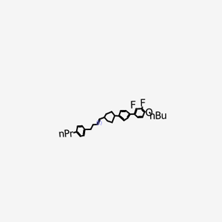 CCCCOc1ccc(-c2ccc(C3CCC(/C=C/CCc4ccc(CCC)cc4)CC3)cc2)c(F)c1F